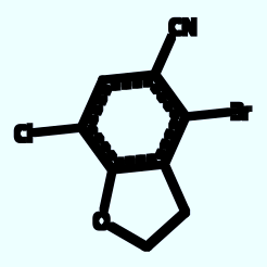 N#Cc1cc(Cl)c2c(c1Br)CCO2